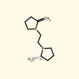 C=C1CCCP1CCP1CCC[C@@H]1C